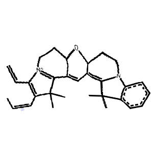 C=CC1=C(/C=C\C)C(C)(C)C2=[N+]1CCC1OC3CCN4C(=C3C=C21)C(C)(C)c1ccccc14